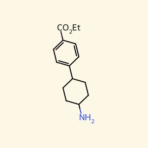 CCOC(=O)c1ccc(C2CCC(N)CC2)cc1